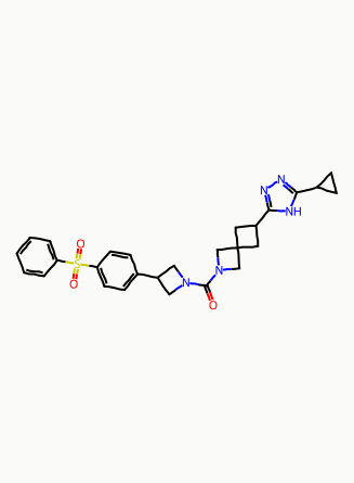 O=C(N1CC(c2ccc(S(=O)(=O)c3ccccc3)cc2)C1)N1CC2(CC(c3nnc(C4CC4)[nH]3)C2)C1